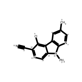 Cc1cnc2c(c1)c1c(Cl)c(C#N)ncc1n2P